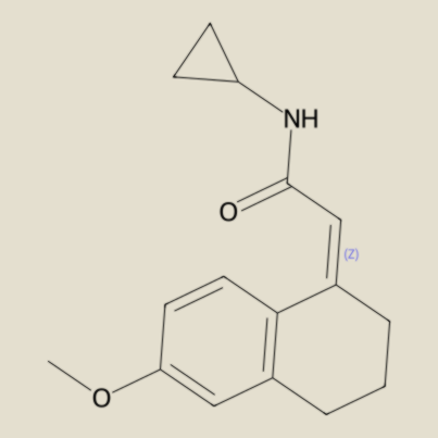 COc1ccc2c(c1)CCC/C2=C/C(=O)NC1CC1